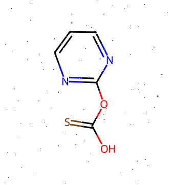 OC(=S)Oc1ncccn1